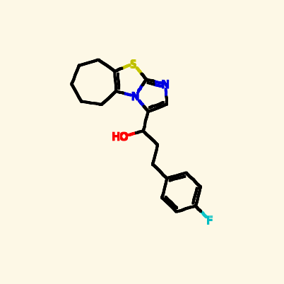 OC(CCc1ccc(F)cc1)c1cnc2sc3c(n12)CCCCC3